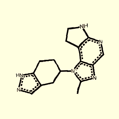 Cc1nc2cnc3c(c2n1C1CCc2[nH]ncc2C1)CCN3